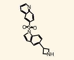 O=S(=O)(c1ccc2ncccc2c1)n1ccc2cc(C3CNC3)ccc21